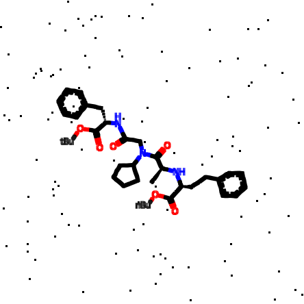 CCCCOC(=O)[C@H](CCc1ccccc1)N[C@@H](C)C(=O)N(CC(=O)N[C@@H](Cc1ccccc1)C(=O)OC(C)(C)C)C1CCCC1